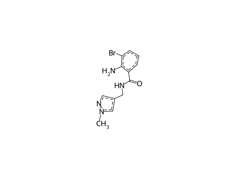 Cn1cc(CNC(=O)c2cccc(Br)c2N)cn1